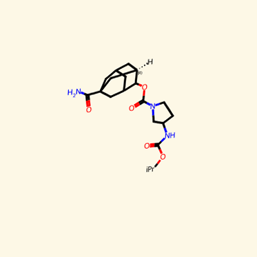 CC(C)OC(=O)NC1CCN(C(=O)OC2C3CC4C[C@@H]2CC(C(N)=O)(C4)C3)C1